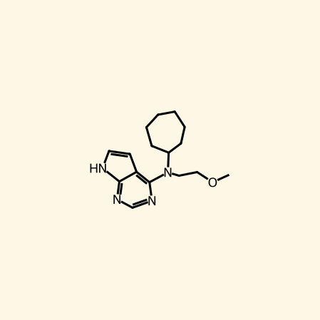 COCCN(c1ncnc2[nH]ccc12)C1CCCCCC1